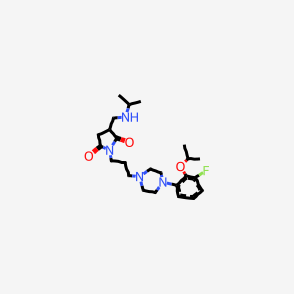 CC(C)NCC1CC(=O)N(CCCN2CCN(c3cccc(F)c3OC(C)C)CC2)C1=O